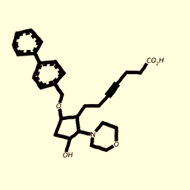 O=C(O)CCC#CCCC1C(OCc2ccc(-c3ccccc3)cc2)CC(O)C1N1CCOCC1